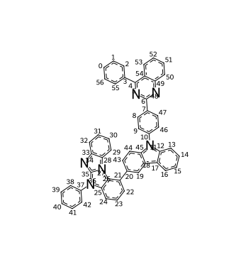 c1ccc(-c2nc(-c3ccc(-n4c5ccccc5c5cc(-c6cccc7c6n6c8ccccc8nc6n7-c6ccccc6)ccc54)cc3)nc3ccccc23)cc1